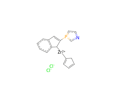 C1=CC[C]([Zr+2][CH]2C(p3ccnc3)=Cc3ccccc32)=C1.[Cl-].[Cl-]